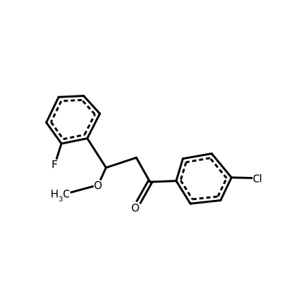 COC(CC(=O)c1ccc(Cl)cc1)c1ccccc1F